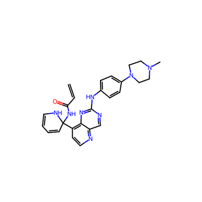 C=CC(=O)NC1(c2ccnc3cnc(Nc4ccc(N5CCN(C)CC5)cc4)nc23)C=CC=CN1